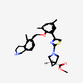 COC(=O)[C@]12C[C@H]1CN(c1nc(-c3cc(C)cc(C)c3OCc3ccc4c(c3C)CCNC4)cs1)C2